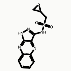 O=S(=O)(CC1CS1)Nc1n[nH]c2nc3ccccc3nc12